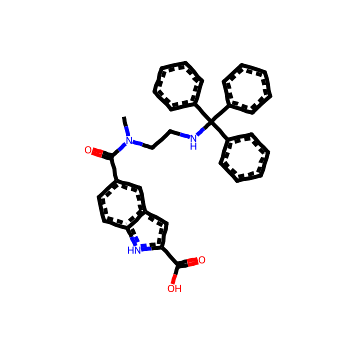 CN(CCNC(c1ccccc1)(c1ccccc1)c1ccccc1)C(=O)c1ccc2[nH]c(C(=O)O)cc2c1